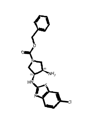 N[C@@H]1CN(C(=O)OCc2ccccc2)C[C@@H]1Nc1nc2ccc(Cl)cc2s1